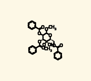 CO[C@H]1O[C@H](COC(=O)c2ccccc2)[C@@](O)(OC)[C@H](OC(=O)c2ccccc2)[C@H]1OC(=O)c1ccccc1